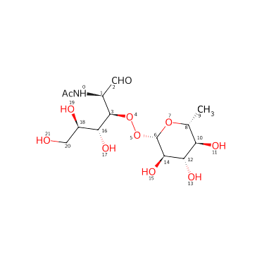 CC(=O)N[C@@H](C=O)[C@@H](OO[C@@H]1O[C@H](C)[C@@H](O)[C@H](O)[C@H]1O)[C@H](O)[C@H](O)CO